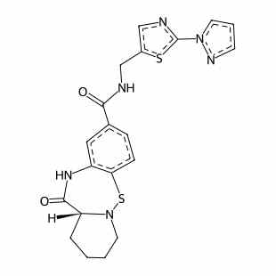 O=C(NCc1cnc(-n2cccn2)s1)c1ccc2c(c1)NC(=O)[C@H]1CCCCN1S2